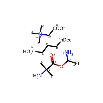 CCC(N)OC(=O)C(C)(C)N.CCCCCCCCCCCCCC(=O)O.C[N+](C)(C)CC(=O)[O-]